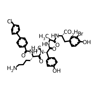 C[C@H](NC(=O)[C@H](c1ccc(O)cc1)N(C)C(=O)[C@H](CCCCN)NC(=O)c1ccc(-c2ccc(Cl)cc2)cc1)C(=O)N[C@@H](Cc1ccc(O)c(Br)c1)C(=O)O